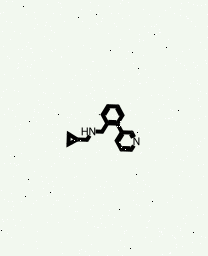 [c]1cccc(-c2cccnc2)c1CNCC1CC1